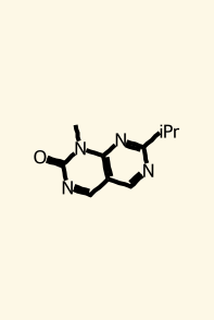 CC(C)c1ncc2cnc(=O)n(C)c2n1